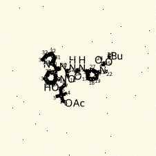 CC(=O)OCC(C)(C)C(O)CN1C(=O)[C@H](NC(=O)Nc2cccc(N(C)C(=O)OC(C)(C)C)c2)N=C(c2ccccn2)c2ccccc21